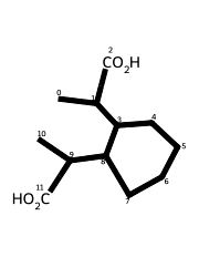 CC(C(=O)O)C1C[CH]CCC1C(C)C(=O)O